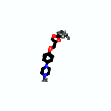 CCCCC1(C)OCC(COc2ccc(N3CCN(C(C)=O)CC3)cc2)O1